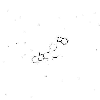 Cc1nc2n(c(=O)c1CCN1CCN(c3nsc4ccccc34)CC1)CCCC2.O=C(O)C=CC(=O)O